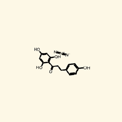 O=C(CCc1ccc(O)cc1)c1c(O)cc(O)cc1O.[N-]=[N+]=[N-]